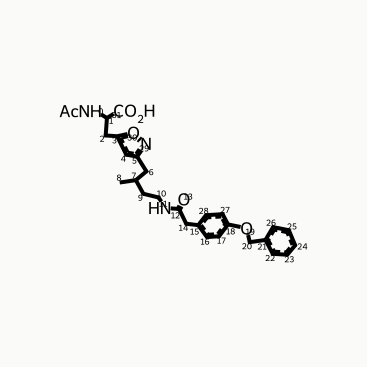 CC(=O)NC(Cc1cc(CC(C)CCNC(=O)Cc2ccc(OCc3ccccc3)cc2)no1)C(=O)O